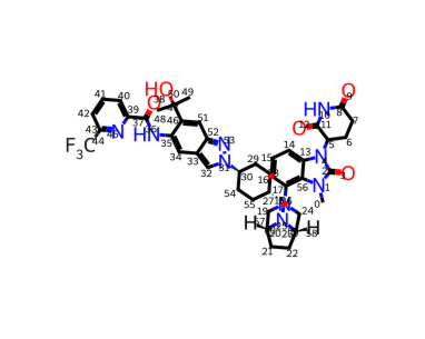 Cn1c(=O)n(C2CCC(=O)NC2=O)c2cccc(N3C[C@H]4CC[C@@H](C3)N4C[C@H]3CC[C@H](n4cc5cc(NC(=O)c6cccc(C(F)(F)F)n6)c(C(C)(C)O)cc5n4)CC3)c21